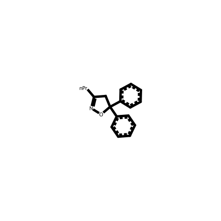 [CH2]CCC1=NOC(c2ccccc2)(c2ccccc2)C1